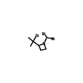 CCC(CC)N1CCC1C(C)(C)CC